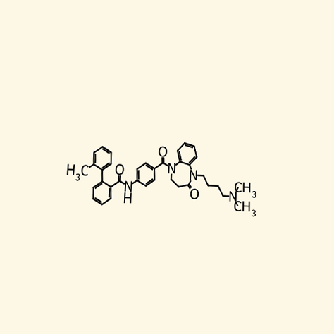 Cc1ccccc1-c1ccccc1C(=O)Nc1ccc(C(=O)N2CCC(=O)N(CCCCN(C)C)c3ccccc32)cc1